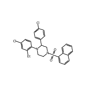 CCc1cc(Cl)ccc1N1CCN(S(=O)(=O)c2cccc3ccccc23)CC1c1ccc(Cl)cc1